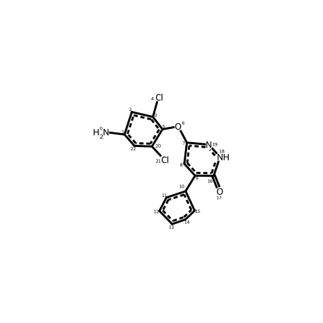 Nc1cc(Cl)c(Oc2cc(-c3ccccc3)c(=O)[nH]n2)c(Cl)c1